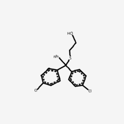 CCCC(SCCO)(c1ccc(Cl)cc1)c1ccc(Cl)cc1